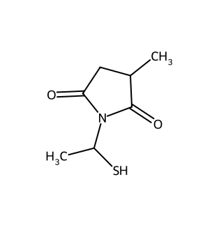 CC1CC(=O)N(C(C)S)C1=O